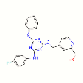 OCc1cc(CNc2nc(Nc3ccccc3)nc(Nc3ccc(F)cc3)n2)ccn1